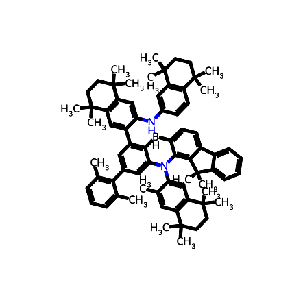 Cc1cc2c(cc1N1c3cc(-c4c(C)cccc4C)cc(-c4cc5c(cc4Nc4ccc6c(c4)C(C)(C)CCC6(C)C)C(C)(C)CCC5(C)C)c3Bc3ccc4c(c31)C(C)(C)c1ccccc1-4)C(C)(C)CCC2(C)C